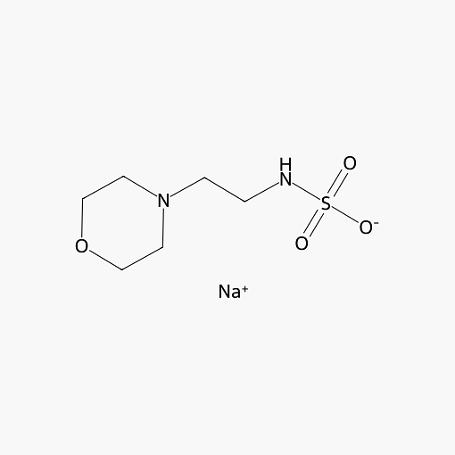 O=S(=O)([O-])NCCN1CCOCC1.[Na+]